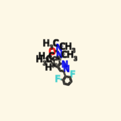 CN(C)C(=O)N(C)[C@@]12CC[C@@H](c3cc(-c4c(F)cccc4F)nnc31)C2(C)C